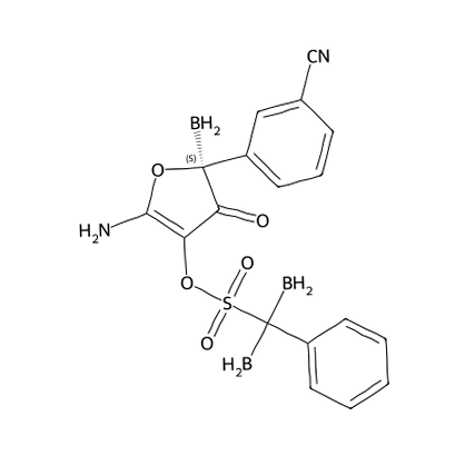 BC(B)(c1ccccc1)S(=O)(=O)OC1=C(N)O[C@@](B)(c2cccc(C#N)c2)C1=O